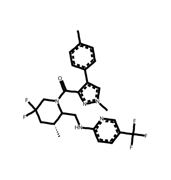 Cc1ccc(-c2cn(C)nc2C(=O)N2CC(F)(F)C[C@@H](C)C2CNc2ccc(C(F)(F)F)cn2)cc1